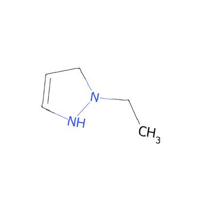 CCN1CC=CN1